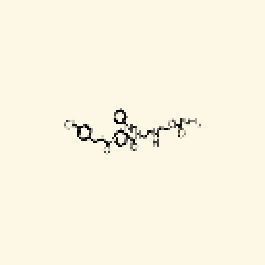 NC(=O)OCCNCCN1CN(c2ccccc2)C2(CCN(C(=O)[CH]Cc3ccc(Cl)cc3)CC2)C1=O